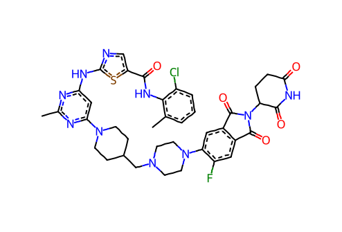 Cc1nc(Nc2ncc(C(=O)Nc3c(C)cccc3Cl)s2)cc(N2CCC(CN3CCN(c4cc5c(cc4F)C(=O)N(C4CCC(=O)NC4=O)C5=O)CC3)CC2)n1